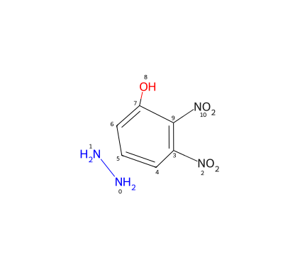 NN.O=[N+]([O-])c1cccc(O)c1[N+](=O)[O-]